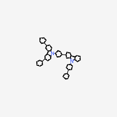 c1ccc(-c2ccc(-n3c4ccccc4c4ccc(-c5ccc(-n6c7ccc(-c8ccccc8)cc7c7cc(-c8ccccc8)ccc76)cc5)cc43)cc2)cc1